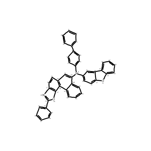 c1ccc(-c2ccc(N(c3ccc4oc5ccccc5c4c3)c3cc4ccc5nc(-c6ccccc6)oc5c4c4ccccc34)cc2)cc1